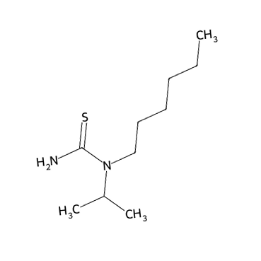 CCCCCCN(C(N)=S)C(C)C